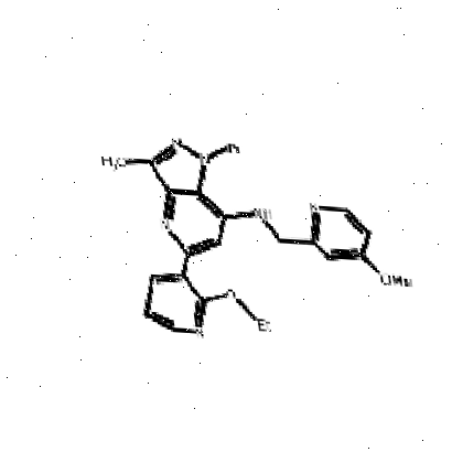 CCOc1ncccc1-c1cc(NCc2cc(OC)ccn2)c2c(n1)c(C)nn2C(C)C